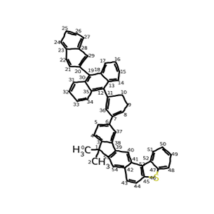 CC1(C)c2ccc(C3=CCCC(c4c5ccccc5c(-c5ccc6ccccc6c5)c5ccccc45)=C3)cc2-c2cc3c(ccc4sc5ccccc5c43)cc21